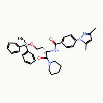 Cc1cc(C)n(-c2ccc(C(=O)N[C@@H](CCO[Si](c3ccccc3)(c3ccccc3)C(C)(C)C)C(=O)N3CCCCC3)cc2)n1